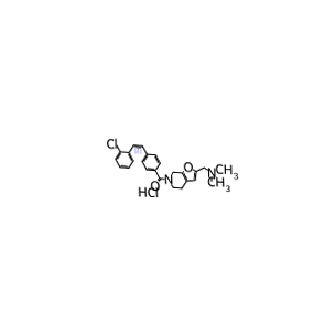 CN(C)Cc1cc2c(o1)CN(C(=O)c1ccc(/C=C\c3ccccc3Cl)cc1)CC2.Cl